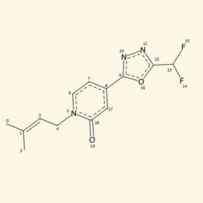 CC(C)=CCn1ccc(-c2nnc(C(F)F)o2)cc1=O